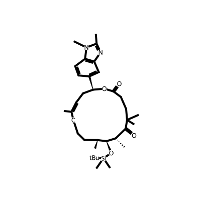 CC1=CC[C@@H](c2ccc3c(c2)nc(C)n3C)OC(=O)CCC(C)(C)C(=O)[C@H](C)[C@@H](O[Si](C)(C)C(C)(C)C)[C@@H](C)CCC1